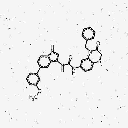 O=C(Nc1ccc2c(c1)N(Cc1ccccc1)C(=O)CS2)Nc1c[nH]c2ccc(-c3cccc(OC(F)(F)F)c3)cc12